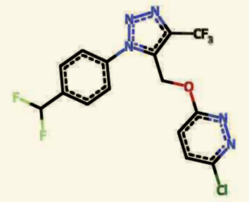 FC(F)c1ccc(-n2nnc(C(F)(F)F)c2COc2ccc(Cl)nn2)cc1